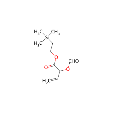 C=CC(O[C]=O)C(=O)OCC[Si](C)(C)C